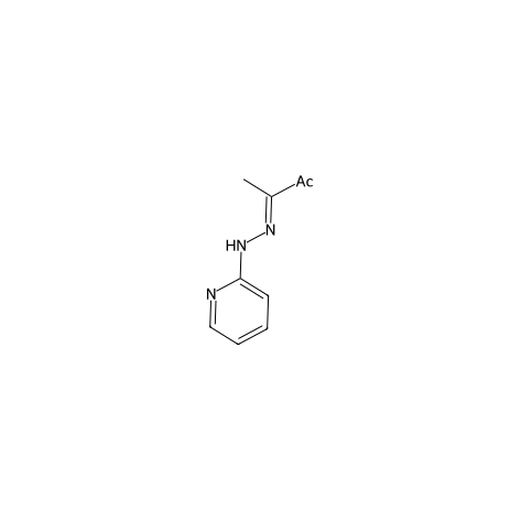 CC(=O)C(C)=NNc1ccccn1